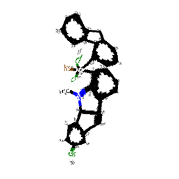 CN1c2c(ccc[c]2[Zr]([SH])([Cl])([Cl])[c]2cccc3c2-c2ccccc2C3)C2=Cc3cc(Br)ccc3C21